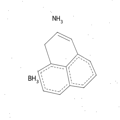 B.C1=Cc2cccc3cccc(c23)C1.N